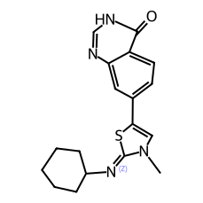 Cn1cc(-c2ccc3c(=O)[nH]cnc3c2)s/c1=N\C1CCCCC1